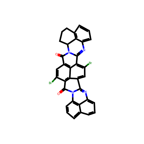 O=c1c2cc(Br)c3c(=O)n4c5cccc6cccc(nc4c4cc(Br)c(c7n1C1CCCc8cccc(c81)N=7)c2c34)c65